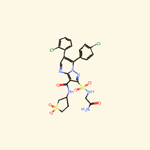 NC(=O)CNS(=O)(=O)c1nn2c(-c3ccc(Cl)cc3)c(-c3ccccc3Cl)cnc2c1C(=O)NC1CCS(=O)(=O)C1